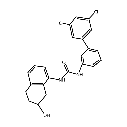 O=C(Nc1cccc(-c2cc(Cl)cc(Cl)c2)c1)Nc1cccc2c1CC(O)CC2